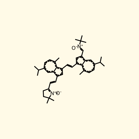 Cc1ccc(C(C)C)cc2c(/C=[N+](\[O-])C(C)(C)C)cc(/C=C/c3cc(/C=C/C4=[N+]([O-])C(C)(C)CC4)c4cc(C(C)C)ccc(C)c3-4)c1-2